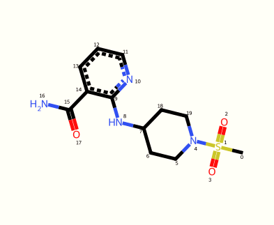 CS(=O)(=O)N1CCC(Nc2ncccc2C(N)=O)CC1